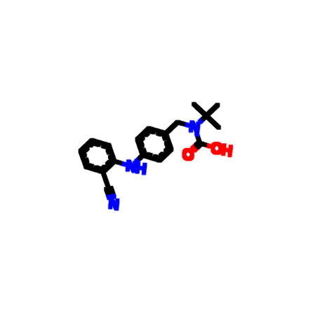 CC(C)(C)N(Cc1ccc(Nc2ccccc2C#N)cc1)C(=O)O